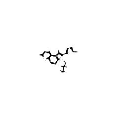 Cc1ccc(-c2c(C)c3c4c(Cl)cc(=O)[nH]c4ccc3n2CC(F)(F)C(F)(F)F)o1